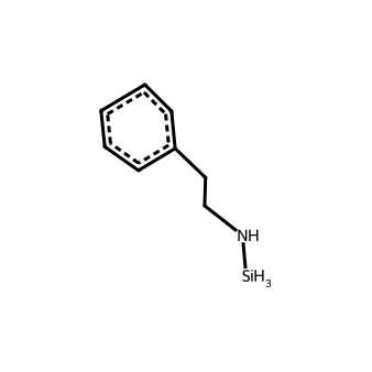 [SiH3]NCCc1ccccc1